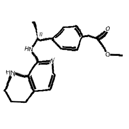 COC(=O)c1ccc([C@H](C)Nc2nccc3c2NCCC3)cc1